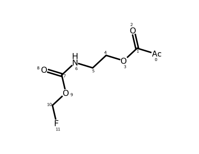 CC(=O)C(=O)OCCNC(=O)OCF